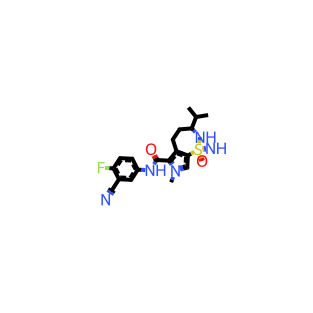 CC(C)C1CCc2c(cn(C)c2C(=O)Nc2ccc(F)c(C#N)c2)S(=N)(=O)N1